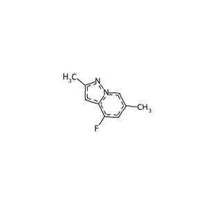 Cc1cc(F)c2cc(C)nn2c1